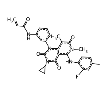 C=CC(=O)Nc1cccc(-n2c(=O)n(C3CC3)c(=O)c3c(Nc4ccc(I)cc4F)n(C)c(=O)c(C)c32)c1